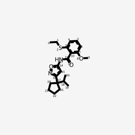 CCSc1cccc(OC)c1C(=O)Nc1cc(C2(C(C)C)CCCC2)no1